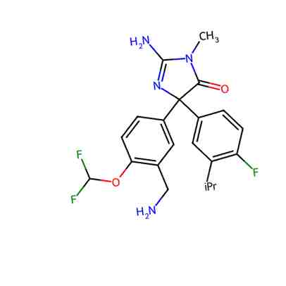 CC(C)c1cc(C2(c3ccc(OC(F)F)c(CN)c3)N=C(N)N(C)C2=O)ccc1F